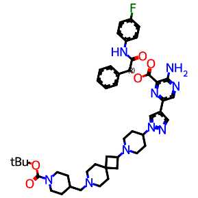 CC(C)(C)OC(=O)N1CCC(CN2CCC3(CC2)CC(N2CCC(n4cc(-c5cnc(N)c(C(=O)O[C@@H](C(=O)Nc6ccc(F)cc6)c6ccccc6)n5)cn4)CC2)C3)CC1